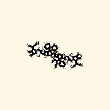 C=C/C=C(\C=C/C)C1(c2ccccc2)c2c(sc3cc(/C=C4\C(=O)c5cscc5C4=C(C#N)C#N)sc23)-c2sc3c4c(sc3c21)-c1sc2cc(/C=C3\C(=O)c5cscc5C3=C(C#N)C#N)sc2c1C4(c1ccccc1)c1ccccc1